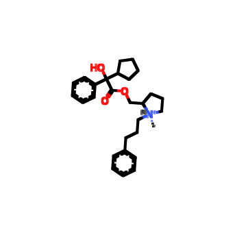 C[N@@+]1(CCCc2ccccc2)CCCC1COC(=O)C(O)(c1ccccc1)C1CCCC1